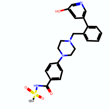 CC(C)(C)S(=O)(=O)NC(=O)c1ccc(N2CCN(Cc3ccccc3-c3cncc(O)c3)CC2)cc1